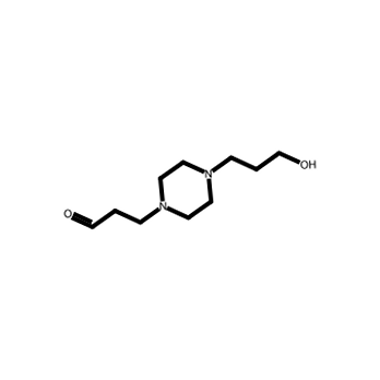 O=CCCN1CCN(CCCO)CC1